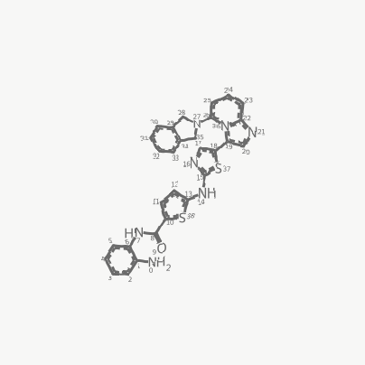 Nc1ccccc1NC(=O)c1ccc(Nc2ncc(-c3cnc4cccc(N5Cc6ccccc6C5)n34)s2)s1